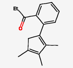 CCC(=O)c1ccccc1C1=C(C)C(C)=C(C)C1